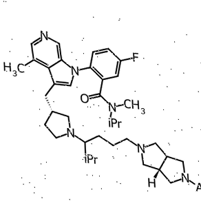 CC(=O)N1CC2CN(CCCC(C(C)C)N3CC[C@H](Cc4cn(-c5ccc(F)cc5C(=O)N(C)C(C)C)c5cncc(C)c45)C3)C[C@H]2C1